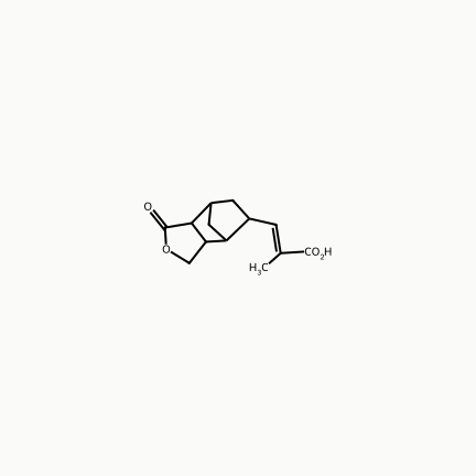 CC(=CC1CC2CC1C1COC(=O)C21)C(=O)O